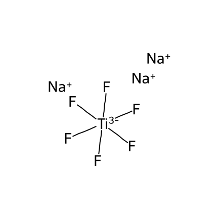 [F][Ti-3]([F])([F])([F])([F])[F].[Na+].[Na+].[Na+]